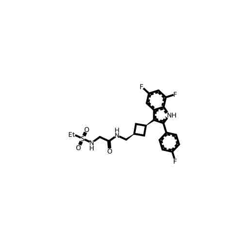 CCS(=O)(=O)NCC(=O)NC[C@H]1C[C@@H](c2c(-c3ccc(F)cc3)[nH]c3c(F)cc(F)cc32)C1